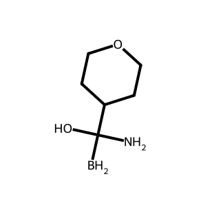 BC(N)(O)C1CCOCC1